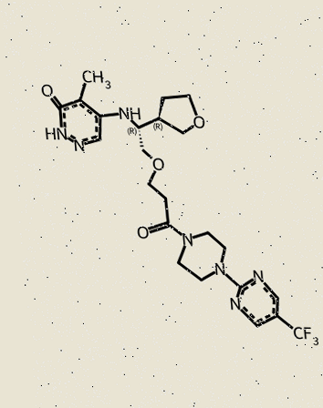 Cc1c(N[C@@H](COCCC(=O)N2CCN(c3ncc(C(F)(F)F)cn3)CC2)[C@H]2CCOC2)cn[nH]c1=O